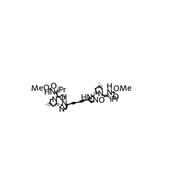 COC(=O)N[C@H](C(=O)N1C[C@@H](C)C[C@H]1c1ncc(C#CC#Cc2cnc([C@@H]3C[C@H](C)CN3C(=O)[C@@H](NC(=O)OC)C(C)C)[nH]2)[nH]1)C(C)C